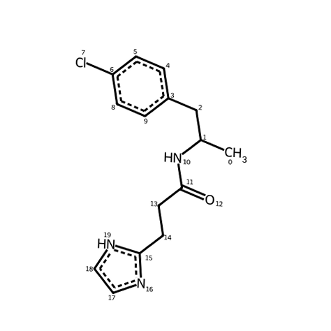 CC(Cc1ccc(Cl)cc1)NC(=O)CCc1ncc[nH]1